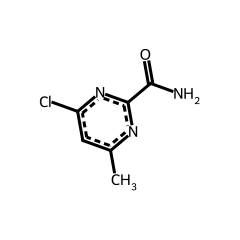 Cc1cc(Cl)nc(C(N)=O)n1